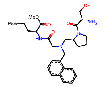 COC(=O)[C@H](CCSC)NC(=O)CN(Cc1cccc2ccccc12)C[C@@H]1CCCN1C(=O)[C@@H](N)CO